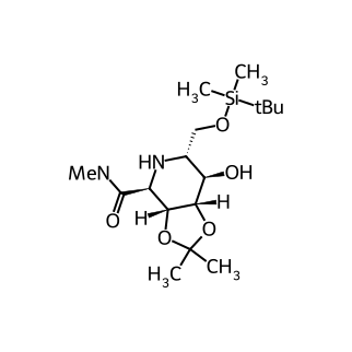 CNC(=O)[C@H]1N[C@H](CO[Si](C)(C)C(C)(C)C)[C@@H](O)[C@@H]2OC(C)(C)O[C@@H]21